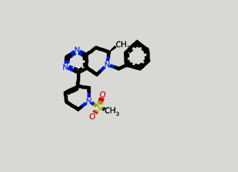 C[C@@H]1Cc2ncnc(C3=CCCN(S(C)(=O)=O)C3)c2CN1Cc1ccccc1